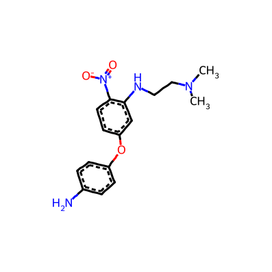 CN(C)CCNc1cc(Oc2ccc(N)cc2)ccc1[N+](=O)[O-]